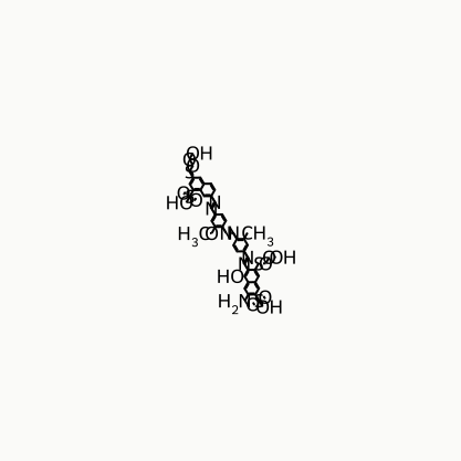 COc1cc(N=Nc2ccc3cc(SOOO)cc(S(=O)(=O)O)c3c2)ccc1N=Nc1ccc(N=Nc2c(SOOO)cc3cc(S(=O)(=O)O)c(N)cc3c2O)cc1C